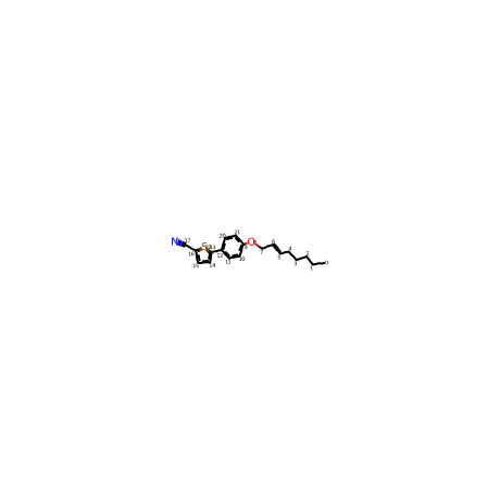 CCCCC/C=C/COc1ccc(-c2ccc(C#N)s2)cc1